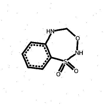 O=S1(=O)NOCNc2ccccc21